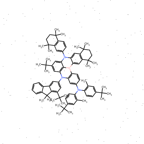 Cc1cc(C(C)(C)C)ccc1N(c1ccc2c(c1)N(c1cc3c(c(C(C)(C)C)c1)C(C)(C)c1ccccc1-3)c1cc(C(C)(C)C)cc3c1B2c1cc2c(cc1N3c1ccc3c(c1)C(C)(C)CCC3(C)C)C(C)(C)CCC2(C)C)c1ccc(C(C)(C)C)cc1C